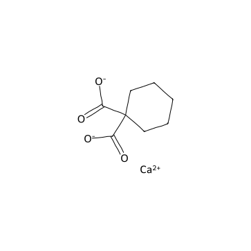 O=C([O-])C1(C(=O)[O-])CCCCC1.[Ca+2]